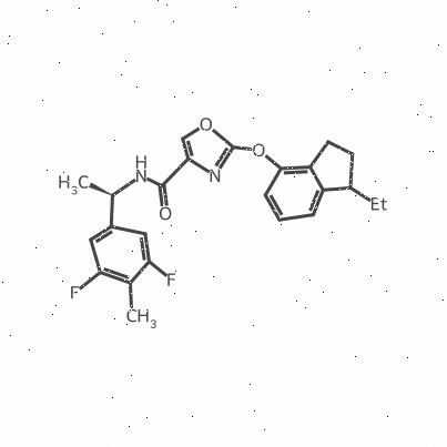 CCC1CCc2c(Oc3nc(C(=O)N[C@H](C)c4cc(F)c(C)c(F)c4)co3)cccc21